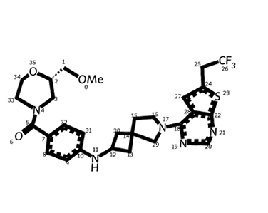 COC[C@@H]1CN(C(=O)c2ccc(NC3CC4(CCN(c5ncnc6sc(CC(F)(F)F)cc56)C4)C3)cc2)CCO1